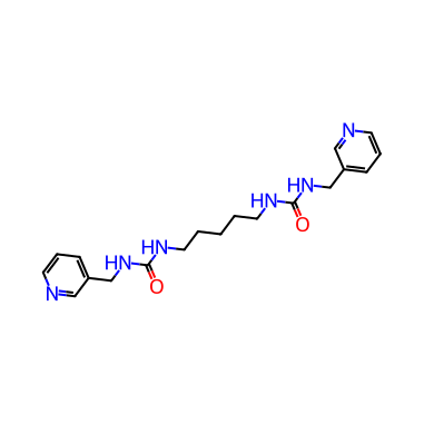 O=C(NCCCCCNC(=O)NCc1cccnc1)NCc1cccnc1